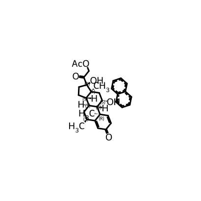 CC(=O)OCC(=O)[C@@]1(O)CC[C@H]2[C@@H]3C[C@H](C)C4=CC(=O)C=C[C@]4(C)[C@H]3[C@@H](O)C[C@@]21C.c1ccc2ccccc2c1